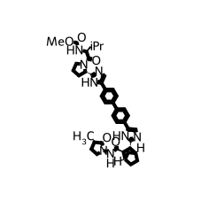 COC(=O)N[C@H](C(=O)N1CCC[C@H]1c1ncc(-c2ccc(-c3ccc(-c4cnc([C@@H]5[C@H]6CC[C@H](C6)[C@H]5C(=O)NN5CC[C@@H](C)C5=O)[nH]4)cc3)cc2)[nH]1)C(C)C